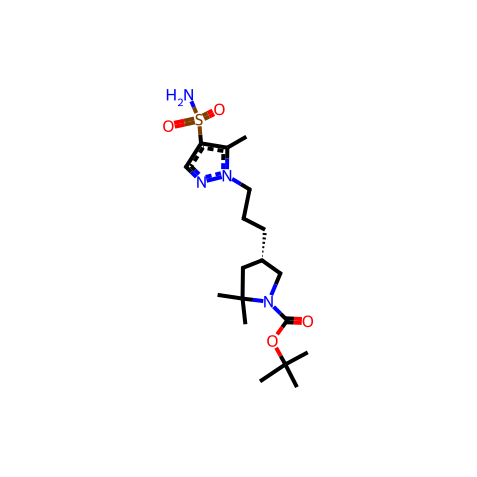 Cc1c(S(N)(=O)=O)cnn1CCC[C@@H]1CN(C(=O)OC(C)(C)C)C(C)(C)C1